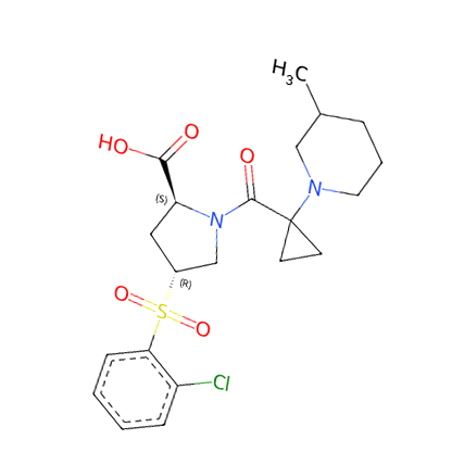 CC1CCCN(C2(C(=O)N3C[C@H](S(=O)(=O)c4ccccc4Cl)C[C@H]3C(=O)O)CC2)C1